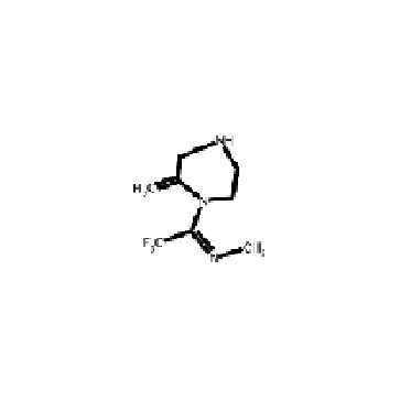 C=C1CNCCN1/C(=N\C)C(F)(F)F